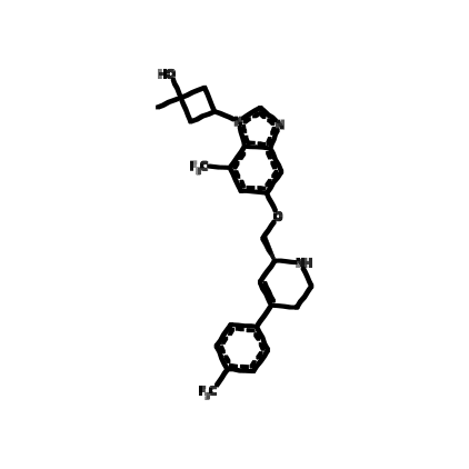 CC1(O)CC(n2cnc3cc(OC[C@@H]4C=C(c5ccc(C(F)(F)F)cc5)CCN4)cc(C(F)(F)F)c32)C1